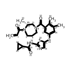 C=CC(=O)N1CCCN(C(=O)c2cc(Sc3cnc(NC(=O)C4CC4)s3)cc(C)c2C)C[C@H]1C